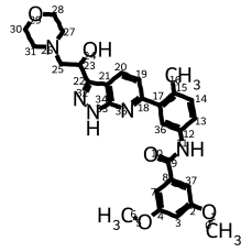 COc1cc(OC)cc(C(=O)Nc2ccc(C)c(-c3ccc4c(C(O)CN5CCOCC5)n[nH]c4n3)c2)c1